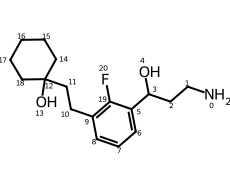 NCCC(O)c1cccc(CCC2(O)CCCCC2)c1F